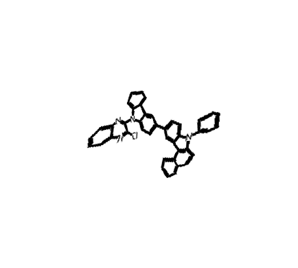 Clc1nc2ccccc2nc1-n1c2ccccc2c2cc(-c3ccc4c(c3)c3c5ccccc5ccc3n4-c3ccccc3)ccc21